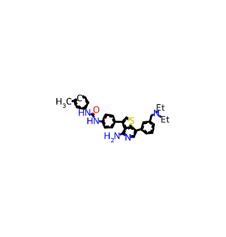 CCN(CC)Cc1cccc(-c2cnc(N)c3c(-c4ccc(NC(=O)Nc5cccc(C)c5)cc4)csc23)c1